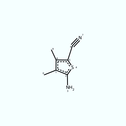 Cc1c(N)sc(C#N)c1C